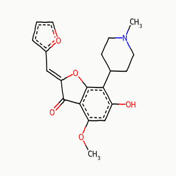 COc1cc(O)c(C2CCN(C)CC2)c2c1C(=O)/C(=C/c1ccco1)O2